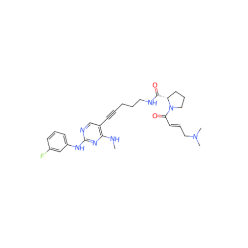 CNc1nc(Nc2cccc(F)c2)ncc1C#CCCCNC(=O)[C@@H]1CCCN1C(=O)/C=C/CN(C)C